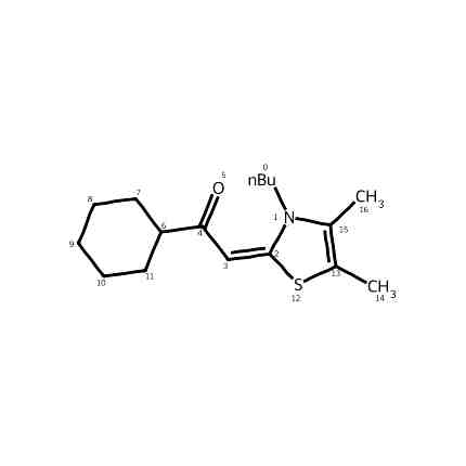 CCCCN1C(=CC(=O)C2CCCCC2)SC(C)=C1C